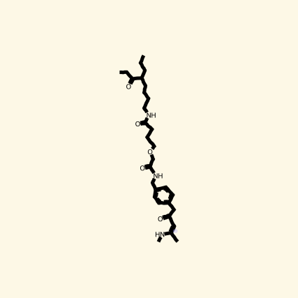 CCCC(CCCCNC(=O)CCCOCC(=O)NCc1ccc(CC(=O)/C=C(/C)NC)cc1)C(=O)CC